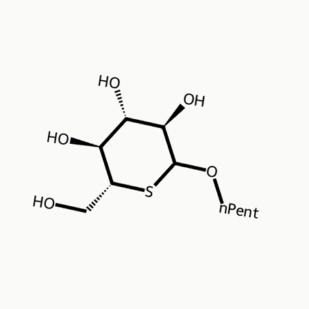 CCCCCOC1S[C@H](CO)[C@@H](O)[C@H](O)[C@H]1O